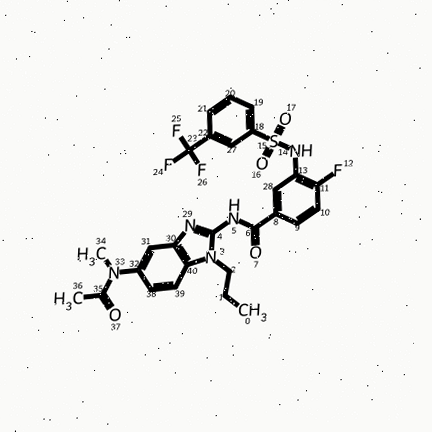 CCCn1c(NC(=O)c2ccc(F)c(NS(=O)(=O)c3cccc(C(F)(F)F)c3)c2)nc2cc(N(C)C(C)=O)ccc21